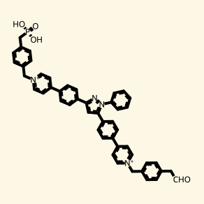 O=CCc1ccc(C[n+]2ccc(-c3ccc(-c4cc(-c5ccc(-c6cc[n+](Cc7ccc(CP(=O)(O)O)cc7)cc6)cc5)nn4-c4ccccc4)cc3)cc2)cc1